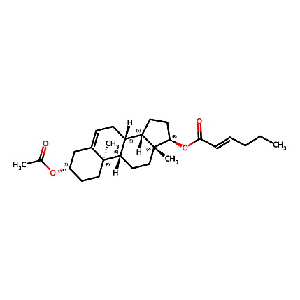 CCCC=CC(=O)O[C@@H]1CC[C@H]2[C@H]3CC=C4C[C@@H](OC(C)=O)CC[C@]4(C)[C@H]3CC[C@@]12C